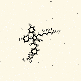 CC(C)n1c(C=C[C@H](O)C[C@@H](O)CC(=O)O)c(-c2ccc(F)cc2)c(-c2ccc(F)cc2)c1C(=O)Nc1ccc(CS(N)(=O)=O)cc1